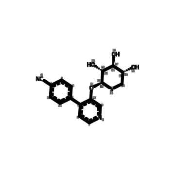 N#Cc1ccc(-c2ccncc2O[C@@H]2SC[C@@H](O)[C@H](O)[C@H]2O)cc1